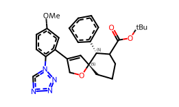 COc1ccc(-n2cnnn2)c(C2=C[C@@]3(CCCC(C(=O)OC(C)(C)C)[C@H]3c3ccccc3)OC2)c1